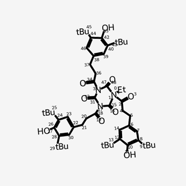 CC[N+]1(C(=O)CCc2cc(C(C)(C)C)c(O)c(C(C)(C)C)c2)C(=O)N(C(=O)CCc2cc(C(C)(C)C)c(O)c(C(C)(C)C)c2)C(=O)N(C(=O)CCc2cc(C(C)(C)C)c(O)c(C(C)(C)C)c2)C1=O